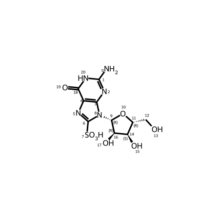 Nc1nc2c(nc(S(=O)(=O)O)n2[C@@H]2O[C@H](CO)[C@@H](O)[C@H]2O)c(=O)[nH]1